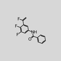 C=C(F)c1cc(NC(=O)c2ccccc2)cc(F)c1F